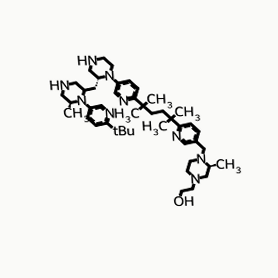 C[C@H]1CN(CCO)CCN1Cc1ccc(C(C)(C)CCC(C)(C)c2ccc(N3CCNC[C@H]3CC3CNC[C@H](C)N3c3ccc(C(C)(C)C)nc3)cn2)nc1